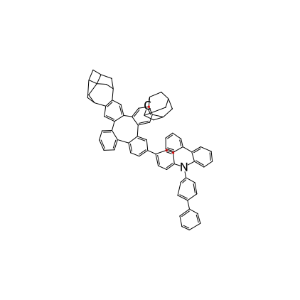 c1ccc(-c2ccc(N(c3ccc(-c4ccc5c(c4)-c4cc6c(cc4-c4cc7c(cc4-c4ccccc4-5)C4CC5CC8CC7CC58C4)C4CC5CC(CC6C5)C4)cc3)c3ccccc3-c3ccccc3)cc2)cc1